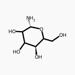 N[C@@H]1OC(CO)[C@@H](O)C(O)C1O